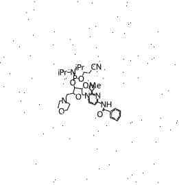 COC1C(OP(OCCC#N)N(C(C)C)C(C)C)C(CN2CCOCC2)OC1n1ccc(NC(=O)c2ccccc2)nc1=O